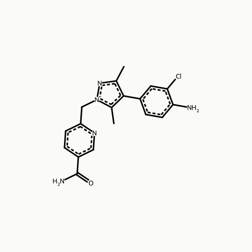 Cc1nn(Cc2ccc(C(N)=O)cn2)c(C)c1-c1ccc(N)c(Cl)c1